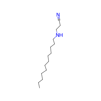 CCCCCCCCCCCCNCCC#N